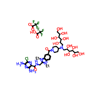 CCn1c(CNC(=O)c2nc(Cl)c(N)nc2N)[n+](CC)c2ccc(C(=O)N3CCC(N(C[C@H](O)[C@@H](O)[C@H](O)[C@H](O)CO)C[C@H](O)[C@@H](O)[C@H](O)[C@H](O)CO)CC3)cc21.O=C(O)C(F)(F)F.O=C([O-])C(F)(F)F